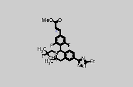 CCc1nc(-c2ccc3c(c2)CC(C)N(CC(C)(C)F)C3c2c(F)cc(/C=C/C(=O)OC)cc2F)no1